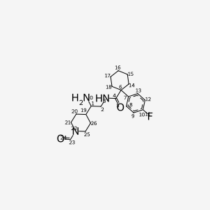 NC(CNC(=O)C1(c2ccc(F)cc2)CCCCC1)C1CCN(C=O)CC1